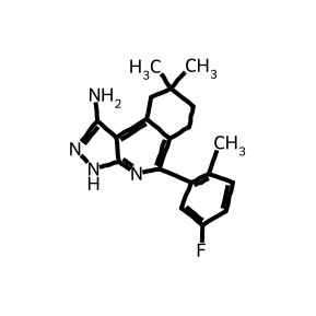 Cc1ccc(F)cc1-c1nc2[nH]nc(N)c2c2c1CCC(C)(C)C2